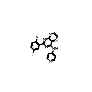 Fc1ccc(F)c(-c2nc(Nc3ccncc3)c3nccnc3n2)c1